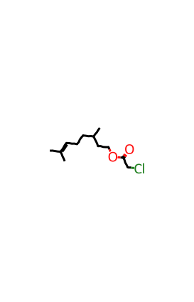 CC(C)=CCCC(C)CCOC(=O)CCl